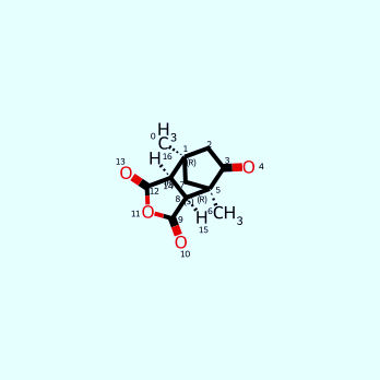 C[C@]12CC(=O)[C@](C)(C1)[C@H]1C(=O)OC(=O)[C@H]12